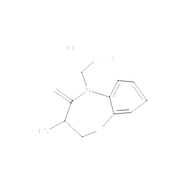 Br.NC1CSc2ccccc2N(CC(=O)O)C1=O